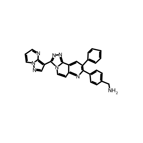 NCc1ccc(-c2nc3ccn4c(-c5cnn6cccnc56)nnc4c3cc2-c2ccccc2)cc1